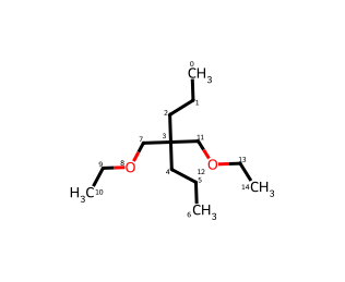 CCCC(CCC)(COCC)COCC